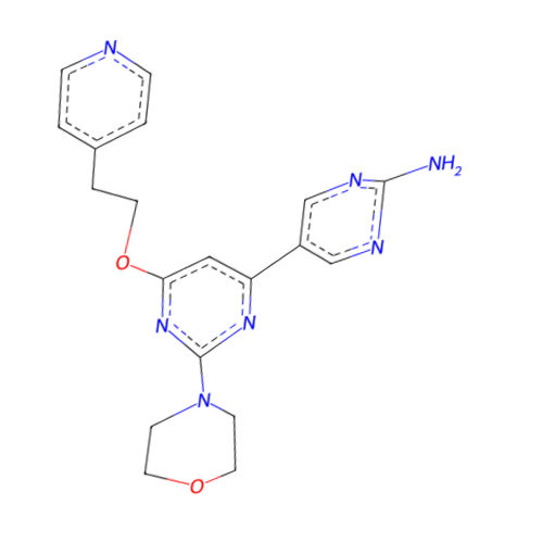 Nc1ncc(-c2cc(OCCc3ccncc3)nc(N3CCOCC3)n2)cn1